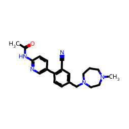 CC(=O)Nc1ccc(-c2ccc(CN3CCCN(C)CC3)cc2C#N)cn1